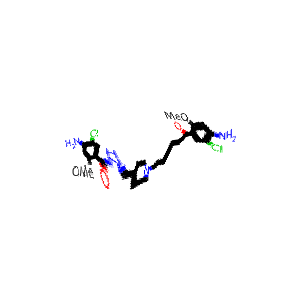 COc1cc(N)c(Cl)cc1C(=O)CCCCCN1CCC(CNC(=O)c2cc(Cl)c(N)cc2OC)CC1